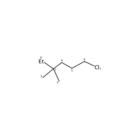 CCC(C)(C)CCCCl